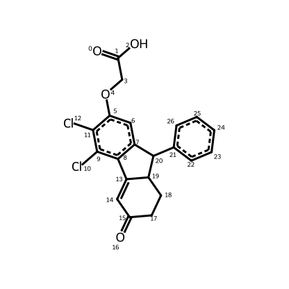 O=C(O)COc1cc2c(c(Cl)c1Cl)C1=CC(=O)CCC1C2c1ccccc1